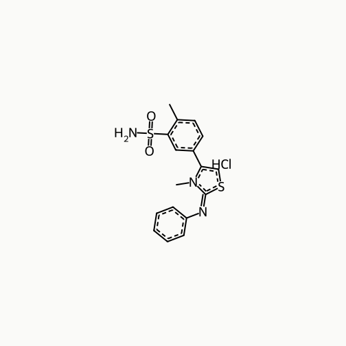 Cc1ccc(-c2csc(=Nc3ccccc3)n2C)cc1S(N)(=O)=O.Cl